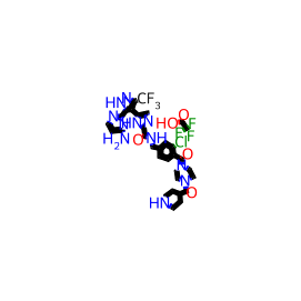 Nc1ccnc(-c2[nH]nc(C(F)(F)F)c2-c2cnc(C(=O)NCc3ccc(C(=O)N4CCN(C(=O)C5CCNCC5)CC4)c(Cl)c3)[nH]2)n1.O=C(O)C(F)(F)F